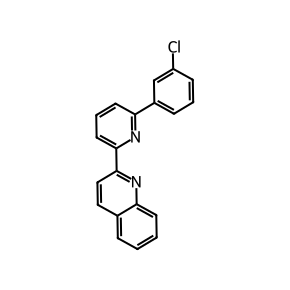 Clc1cccc(-c2cccc(-c3ccc4ccccc4n3)n2)c1